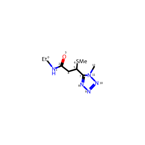 CCNC(=O)CC(SC)c1nnnn1C